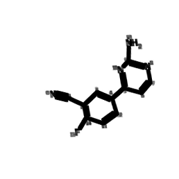 N#Cc1cc(-c2ccnc(N)n2)ccc1F